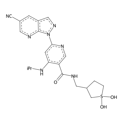 CC(C)Nc1cc(-n2ncc3cc(C#N)cnc32)ncc1C(=O)NCC1CCS(O)(O)C1